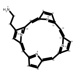 NCCC1=C/C2=C/C3=NC(=C\C4=NC(=C\C5=NC(=C\C1=N2)/C=C5)/C=C4)/C=C3